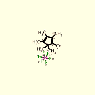 CC1=C(C)C(C)(C)[C]([Co])=C1C.F[P-](F)(F)(F)(F)F